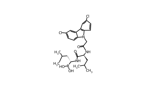 CC(C)C[C@H](NC(=O)[C@H](CC(C)C)NC(=O)Cn1c2ccc(Cl)cc2c2cc(Cl)ccc21)B(O)O